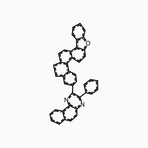 c1ccc(-c2nc3ccc4ccccc4c3nc2-c2ccc3c(ccc4ccc5c(ccc6oc7ccccc7c65)c43)c2)cc1